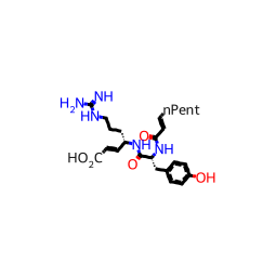 CCCCC/C=C/C(=O)N[C@H](Cc1ccc(O)cc1)C(=O)N[C@H](/C=C/C(=O)O)CCCNC(=N)N